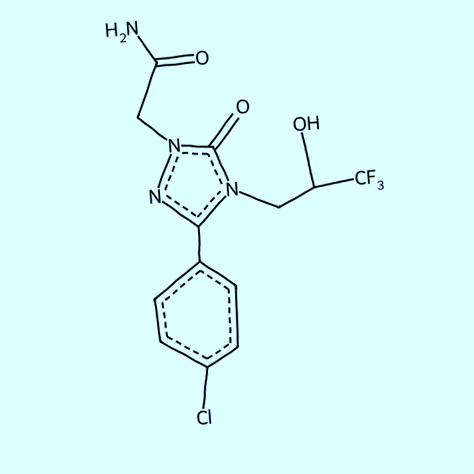 NC(=O)Cn1nc(-c2ccc(Cl)cc2)n(CC(O)C(F)(F)F)c1=O